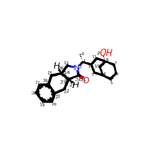 C[C@H](C1CC2CCC[C@@](O)(C2)C1)N1C[C@H]2Cc3ccccc3C[C@H]2C1=O